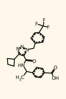 CC(NC(=O)c1c(C2CCC2)nnn1Cc1ccc(C(F)(F)F)cc1)c1ccc(C(=O)O)cc1